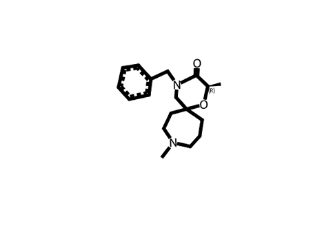 C[C@H]1OC2(CCCN(C)CC2)CN(Cc2ccccc2)C1=O